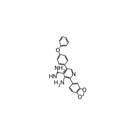 N=C(N)c1c(-c2ccc(Oc3ccccc3)cc2)cnc(-c2ccc3c(c2)OCO3)c1N